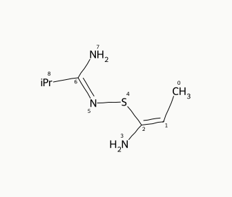 C/C=C(/N)S/N=C(\N)C(C)C